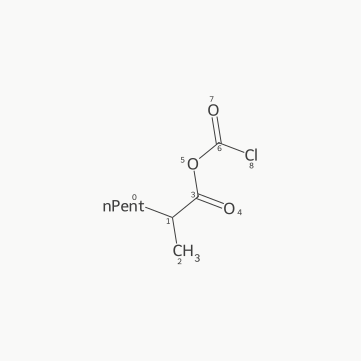 CCCCCC(C)C(=O)OC(=O)Cl